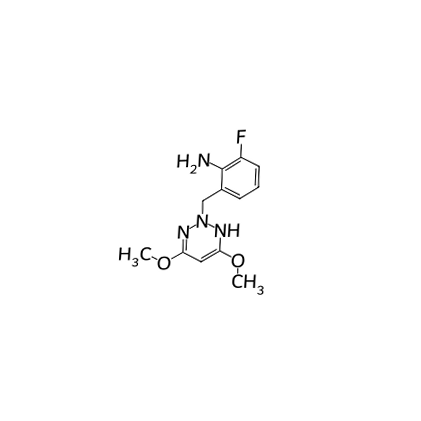 COC1=CC(OC)=NN(Cc2cccc(F)c2N)N1